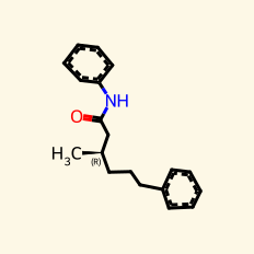 C[C@H](CCCc1ccccc1)CC(=O)Nc1ccccc1